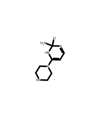 NC1(Cl)N=CC=C(N2CCNCC2)N1